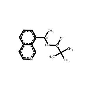 C[C@@H](N[S+]([O-])C(C)(C)C)c1cccc2ccncc12